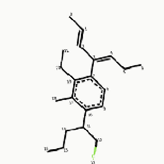 C/C=C/C(=C/CC)c1ccc(C(CF)CCC)c(C)c1CC